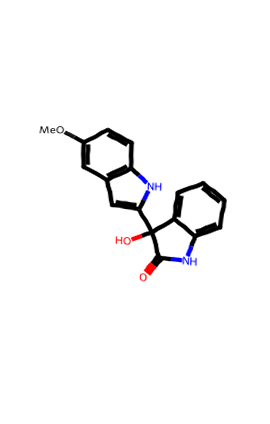 COc1ccc2[nH]c(C3(O)C(=O)Nc4ccccc43)cc2c1